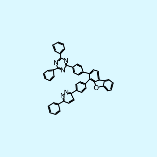 c1ccc(-c2ccc(-c3ccc(-c4c(-c5ccc(-c6nc(-c7ccccc7)nc(-c7ccccc7)n6)cc5)ccc5c4oc4ccccc45)cc3)nn2)cc1